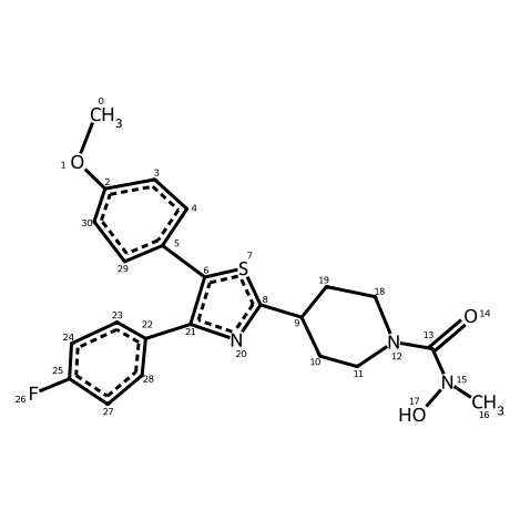 COc1ccc(-c2sc(C3CCN(C(=O)N(C)O)CC3)nc2-c2ccc(F)cc2)cc1